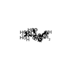 C[C@@H](O)[C@H](NC(=O)CNC(=O)[C@H](CCC(=O)O)NC(=O)[C@@H]1CCCN1C(=O)[C@@H](N)Cc1c[nH]cn1)C(=O)O